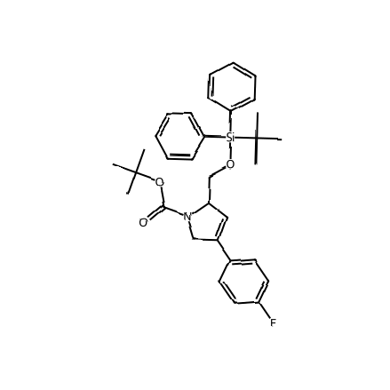 CC(C)(C)OC(=O)N1CC(c2ccc(F)cc2)=CC1CO[Si](c1ccccc1)(c1ccccc1)C(C)(C)C